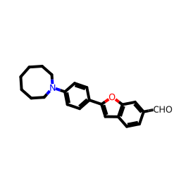 O=Cc1ccc2cc(-c3ccc(N4CCCCCCC4)cc3)oc2c1